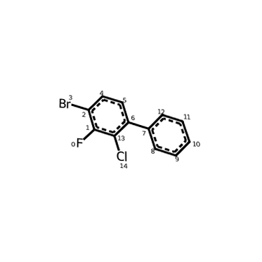 Fc1c(Br)ccc(-c2ccccc2)c1Cl